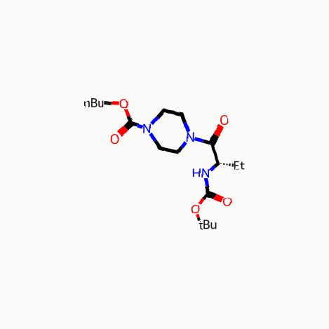 CCCCOC(=O)N1CCN(C(=O)[C@H](CC)NC(=O)OC(C)(C)C)CC1